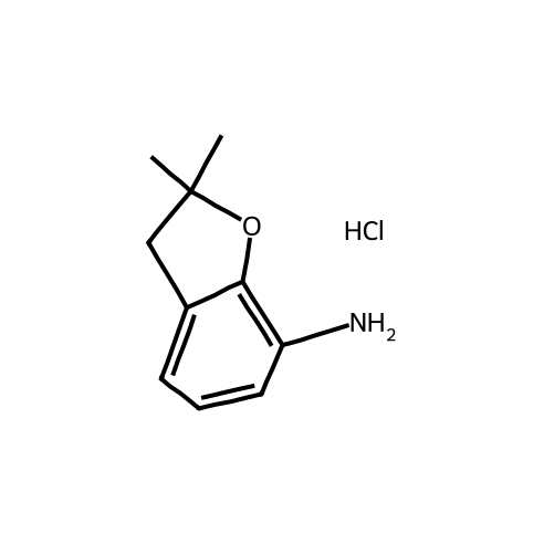 CC1(C)Cc2cccc(N)c2O1.Cl